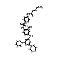 CCCCC(=O)Nc1ccc(S(=O)(=O)Nc2ccc(Nc3nc(N4CCCCC4)nc(N4CCCCC4)n3)cc2O)cc1